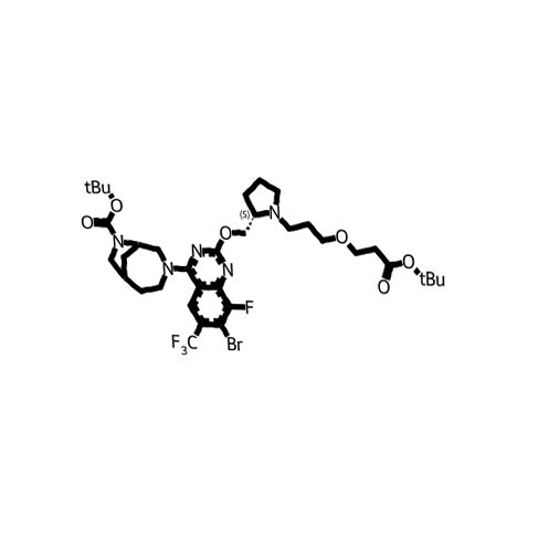 CC(C)(C)OC(=O)CCOCCCN1CCC[C@H]1COc1nc(N2CCC3CC(C2)N(C(=O)OC(C)(C)C)C3)c2cc(C(F)(F)F)c(Br)c(F)c2n1